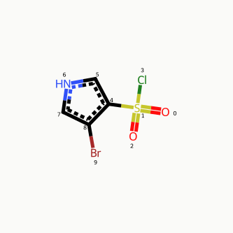 O=S(=O)(Cl)c1c[nH]cc1Br